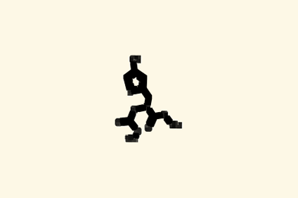 CC(C)(C)OC(=O)ON(Cc1cc(C#N)cs1)C(=O)OC(C)(C)C